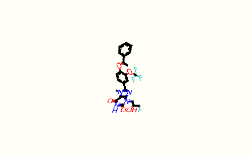 CC(Oc1ccc(-c2nc3c(c(=O)[nH]c(=O)n3CC(O)CF)n2C)cc1OC(F)(F)F)c1ccccc1